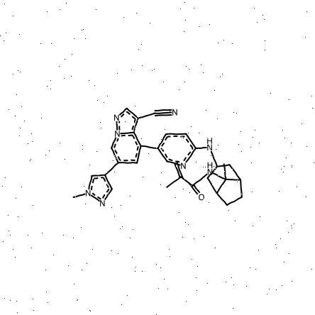 C=C(C)C(=O)NC1(C)C2CCC1CC(Nc1ccc(-c3cc(-c4cnn(C)c4)cn4ncc(C#N)c34)cn1)C2